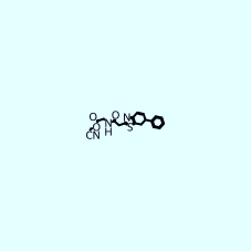 N#CCOC(=O)CNC(=O)Cc1nc2c(s1)CC(c1ccccc1)C=C2